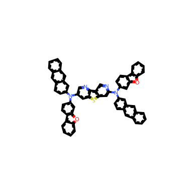 c1ccc2cc3cc(N(c4ccc5c(c4)oc4ccccc45)c4cnc5c(c4)sc4cc(N(c6ccc7cc8ccccc8cc7c6)c6ccc7c(c6)oc6ccccc67)ncc45)ccc3cc2c1